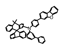 CC1(C)c2ccccc2C2(c3ccccc3-c3ccccc32)c2cc(N(c3ccc(-c4ccc5c(c4)oc4ccccc45)cc3)c3cccc(-c4ccccc4)c3)ccc21